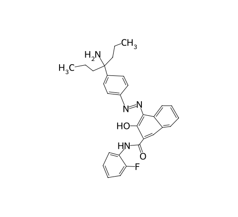 CCCC(N)(CCC)c1ccc(N=Nc2c(O)c(C(=O)Nc3ccccc3F)cc3ccccc23)cc1